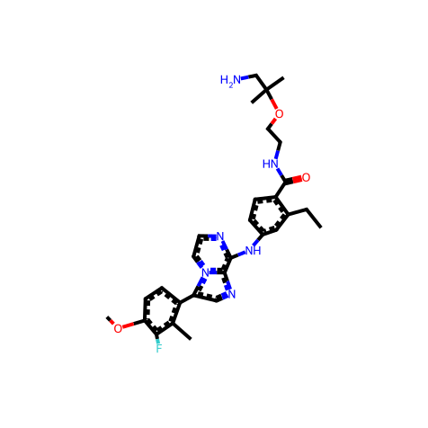 CCc1cc(Nc2nccn3c(-c4ccc(OC)c(F)c4C)cnc23)ccc1C(=O)NCCOC(C)(C)CN